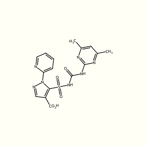 Cc1cc(C)nc(NC(=O)NS(=O)(=O)c2c(C(=O)O)cnn2-c2ccccn2)n1